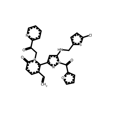 C=Cc1ccc(=O)n(CC(=O)c2ccccn2)c1-c1cc(NCc2ccc(Cl)s2)n(C(=O)c2ccco2)n1